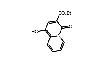 CCOC(=O)c1cc(O)c2ccccn2c1=O